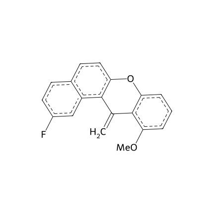 C=C1c2c(OC)cccc2Oc2ccc3ccc(F)cc3c21